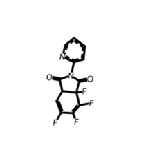 O=C1C2C=C(F)C(F)=C(F)C2(F)C(=O)N1c1ccccn1